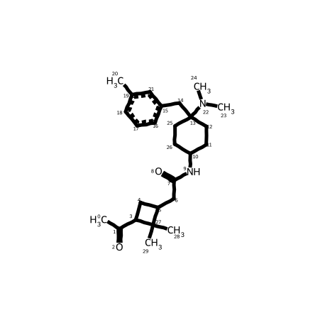 CC(=O)C1CC(CC(=O)NC2CCC(Cc3cccc(C)c3)(N(C)C)CC2)C1(C)C